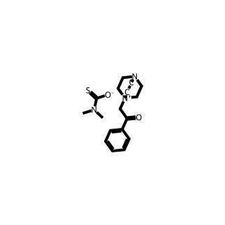 CN(C)C([O-])=S.O=C(C[N+]12CCN(CC1)CC2)c1ccccc1